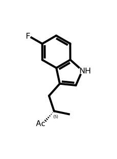 CC(=O)[C@@H](C)Cc1c[nH]c2ccc(F)cc12